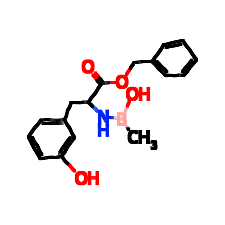 CB(O)NC(Cc1cccc(O)c1)C(=O)OCc1ccccc1